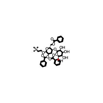 C[Si](C)(C)CCO[C@H]1O[C@H](COC(=O)c2ccccc2)[C@H](O[C@@H]2O[C@H](CO)[C@H](O)[C@H](O)[C@H]2O)[C@H](OC(=O)c2ccccc2)[C@H]1OC(=O)c1ccccc1